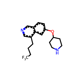 FC(F)(F)CCCc1cncc2ccc(OC3CCNCC3)cc12